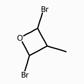 CC1C(Br)OC1Br